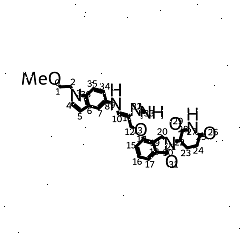 COCCn1ccc2cc(N/C=C(/COc3cccc4c3CN(C3CCC(=O)NC3=O)C4=O)N=N)ccc21